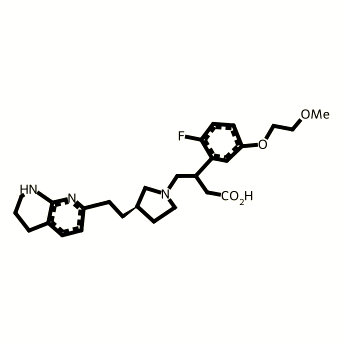 COCCOc1ccc(F)c(C(CC(=O)O)CN2CC[C@@H](CCc3ccc4c(n3)NCCC4)C2)c1